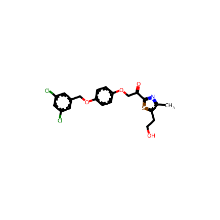 Cc1nc(C(=O)COc2ccc(OCc3cc(Cl)cc(Cl)c3)cc2)sc1CCO